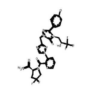 NC(=O)[C@@H]1CC(F)(F)CN1C(=O)c1ncccc1-n1cnc(Cn2nc(-c3ccc(Cl)cc3)n(C[C@@H](O)C(F)(F)F)c2=O)n1